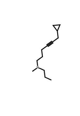 CCCN(C)CCCC#CCC1CC1